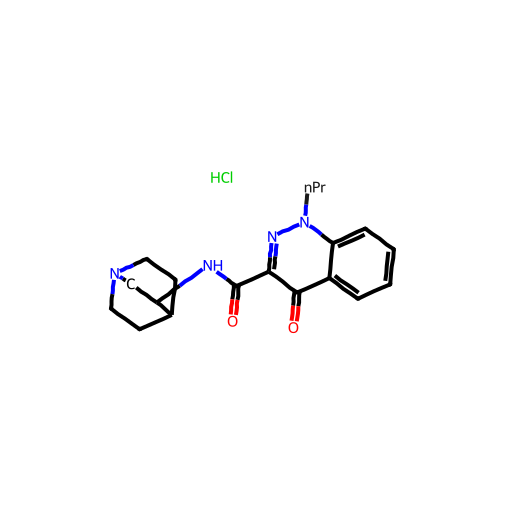 CCCn1nc(C(=O)NC2CN3CCC2CC3)c(=O)c2ccccc21.Cl